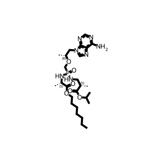 CCCCCCCOC(=O)[C@H](C)NP(=O)(CO[C@H](C)Cn1cnc2c(N)ncnc21)NC[C@H](C)C(=O)OC(C)C